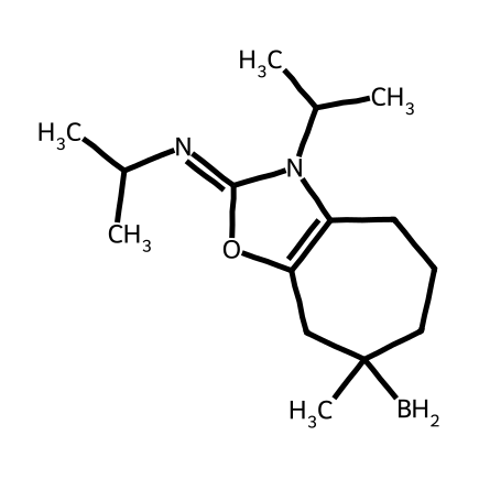 BC1(C)CCCc2c(o/c(=N\C(C)C)n2C(C)C)C1